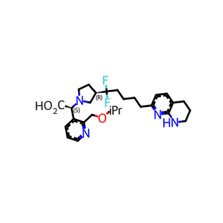 CC(C)OCc1ncccc1[C@@H](C(=O)O)N1CC[C@@H](C(F)(F)CCCCc2ccc3c(n2)NCCC3)C1